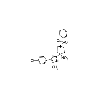 Cc1nc(C2([N+](=O)[O-])CCN(S(=O)(=O)c3ccccc3)CC2)sc1-c1ccc(Cl)cc1